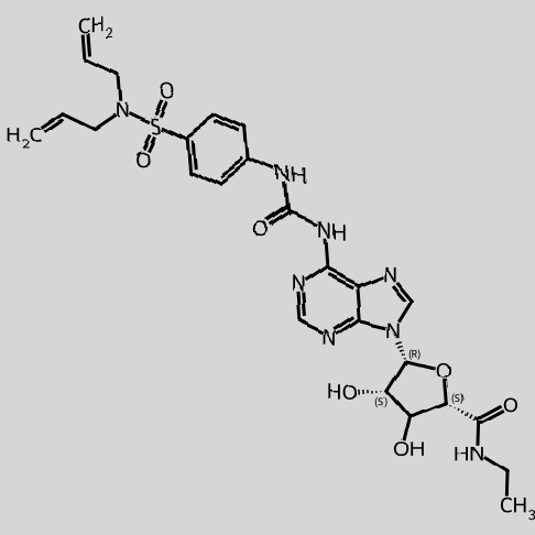 C=CCN(CC=C)S(=O)(=O)c1ccc(NC(=O)Nc2ncnc3c2ncn3[C@@H]2O[C@H](C(=O)NCC)C(O)[C@@H]2O)cc1